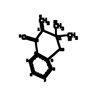 C=C1C(=O)c2ccccc2CC1(C)C